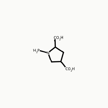 O=C(O)C1CC(C(=O)O)N(P)C1